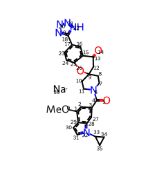 COc1cc(C(=O)N2CCC3(CC2)CC(=O)c2cc(-c4nnn[nH]4)ccc2O3)cc2c1ccn2C1CC1.[Na]